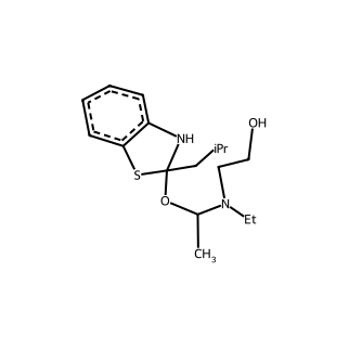 CCN(CCO)C(C)OC1(CC(C)C)Nc2ccccc2S1